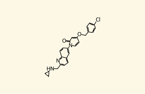 O=c1cc(OCc2ccc(Cl)cc2)ccn1-c1ccc2nc(CNC3CC3)ccc2c1